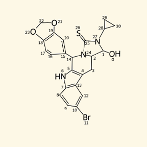 OC1C2Cc3c([nH]c4ccc(Br)cc34)C(c3ccc4c(c3)OCO4)N2C(=S)N1C1CC1